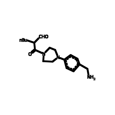 CCCCC(C=O)C(=O)N1CCN(c2ccc(CN)cc2)CC1